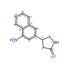 Nc1cc(C2CNC(=O)C2)cc2ccncc12